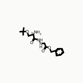 CC(C)(C)OC[C@H](N)C(=O)NNCC(=O)OCc1ccccc1